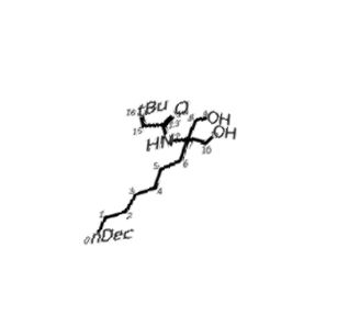 CCCCCCCCCCCCCCCCC(CO)(CO)NC(=O)CC(C)(C)C